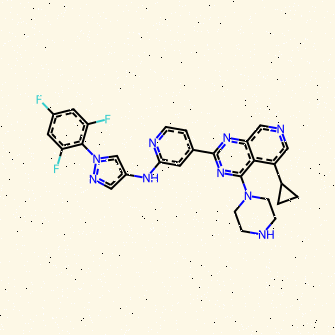 Fc1cc(F)c(-n2cc(Nc3cc(-c4nc(N5CCNCC5)c5c(C6CC6)cncc5n4)ccn3)cn2)c(F)c1